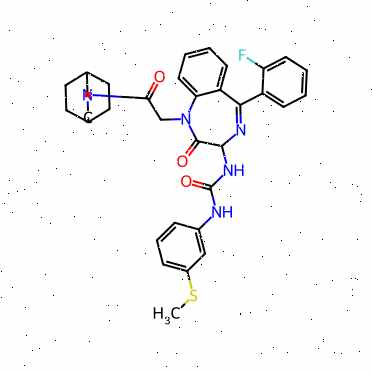 CSc1cccc(NC(=O)NC2N=C(c3ccccc3F)c3ccccc3N(CC(=O)N3CC4CCC(CC4)C3)C2=O)c1